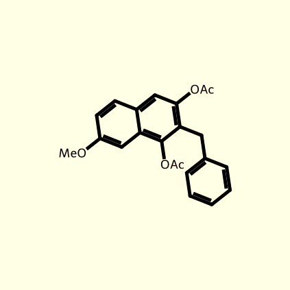 COc1ccc2cc(OC(C)=O)c(Cc3ccccc3)c(OC(C)=O)c2c1